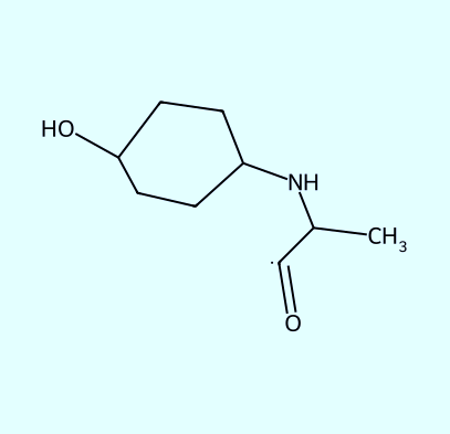 CC([C]=O)NC1CCC(O)CC1